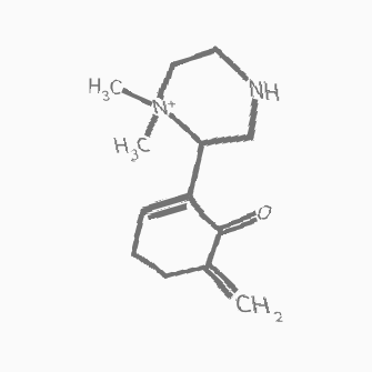 C=C1CCC=C(C2CNCC[N+]2(C)C)C1=O